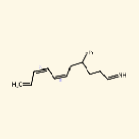 C=C/C=C\C=C/CC(CCC)CCC=N